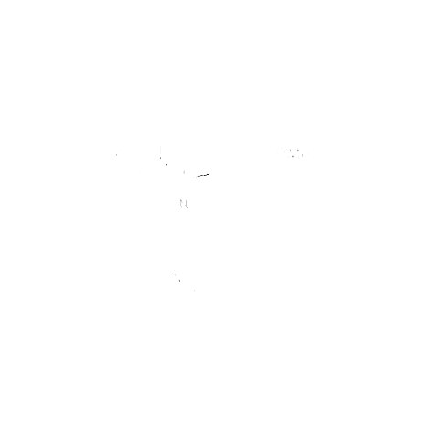 COc1ccc([C@@H]2NC(=O)c3cccc4c3N2CC[C@@H]4N)c(C)c1